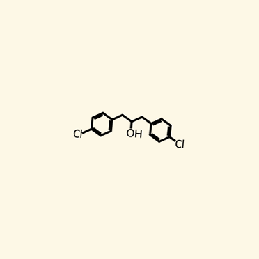 OC(Cc1ccc(Cl)cc1)Cc1ccc(Cl)cc1